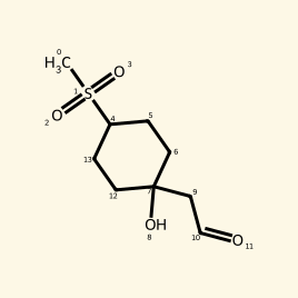 CS(=O)(=O)C1CCC(O)(CC=O)CC1